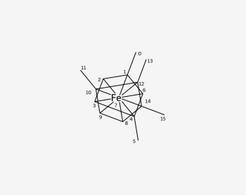 C[C]12[CH]3[CH]4[C]5(C)[CH]1[Fe]34251678[CH]2[CH]1[C]6(C)[C]7(C)[C]28C